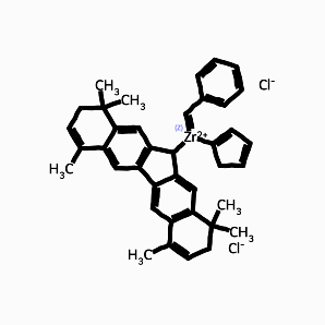 CC1=CCC(C)(C)c2cc3c(cc21)-c1cc2c(cc1[CH]3/[Zr+2](=[CH]/c1ccccc1)[C]1=CC=CC1)C(C)(C)CC=C2C.[Cl-].[Cl-]